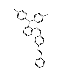 Cc1ccc(N(c2ccc(C)cc2)c2ccccc2/C=C\c2ccc(/C=C/c3ccccc3)cc2)cc1